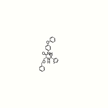 O=C(NC(COCc1ccccc1)C(=O)Nc1ccc(Oc2ccccc2)cc1)c1cccs1